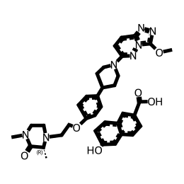 COc1nnc2ccc(N3CCC(c4ccc(OCCN5CCN(C)C(=O)[C@H]5C)cc4)CC3)nn12.O=C(O)c1ccc2cc(O)ccc2c1